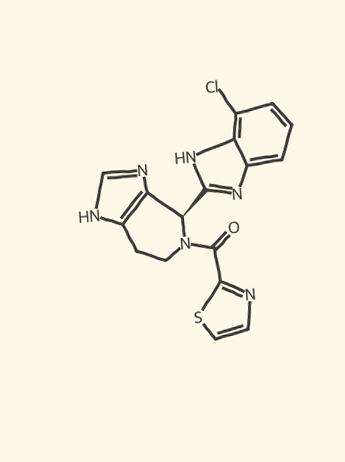 O=C(c1nccs1)N1CCc2[nH]cnc2[C@H]1c1nc2cccc(Cl)c2[nH]1